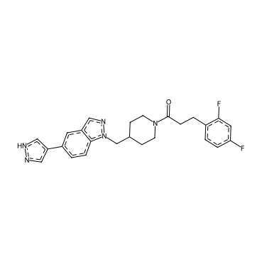 O=C(CCc1ccc(F)cc1F)N1CCC(Cn2ncc3cc(-c4cn[nH]c4)ccc32)CC1